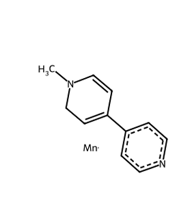 CN1C=CC(c2ccncc2)=CC1.[Mn]